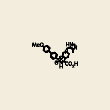 COc1ccc(-c2ccc(S(=O)(=O)NC(C(=O)O)C3CCN(Cc4[nH]cnc4C)CC3)cc2)cc1